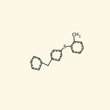 Cc1ccccc1Sc1ccc(Cc2ccccc2)cc1